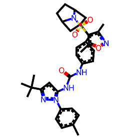 Cc1ccc(-n2nc(C(C)(C)C)cc2NC(=O)Nc2ccc(CC3CC4CCC(C3)N4S(=O)(=O)c3c(C)noc3C)cc2)cc1